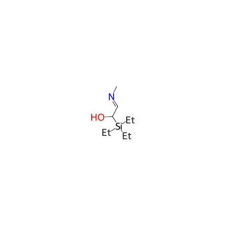 CC[Si](CC)(CC)C(O)C=NC